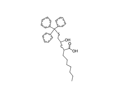 CCCCCCCC(CC(O)CSC(c1ccccc1)(c1ccccc1)c1ccccc1)C(=O)O